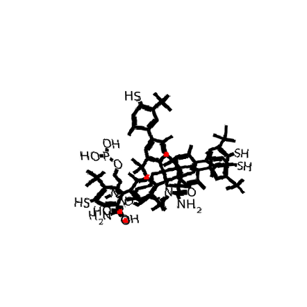 Cc1cc(S)c(C(C)(C)C)cc1-c1cc(C(C)(C)C)c(C(CCCCN(C(N)=O)N(C)CCOP(O)O)(c2cc(C)c(-c3cc(C(C)(C)C)c(S)cc3C)cc2C(C)(C)C)C(c2cc(C)c(-c3cc(C(C)(C)C)c(S)cc3C)cc2C(C)(C)C)(c2cc(C)c(-c3cc(C(C)(C)C)c(S)cc3C)cc2C(C)(C)C)N(C(N)=O)N(C)CCOP(O)O)cc1C